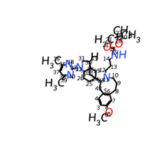 COc1ccc2c(c1)CCCN(CCCNC(=O)OC(C)(C)C)C(C13CCC4C(C1)[C@@H](CN4c1nc(C)cc(C)n1)C3)C2